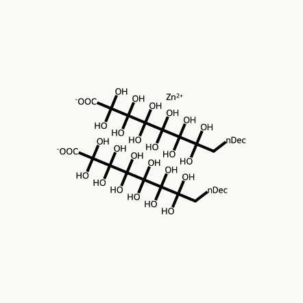 CCCCCCCCCCCC(O)(O)C(O)(O)C(O)(O)C(O)(O)C(O)(O)C(O)(O)C(=O)[O-].CCCCCCCCCCCC(O)(O)C(O)(O)C(O)(O)C(O)(O)C(O)(O)C(O)(O)C(=O)[O-].[Zn+2]